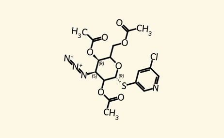 CC(=O)OCC1O[C@H](Sc2cncc(Cl)c2)C(OC(C)=O)[C@@H](N=[N+]=[N-])[C@H]1OC(C)=O